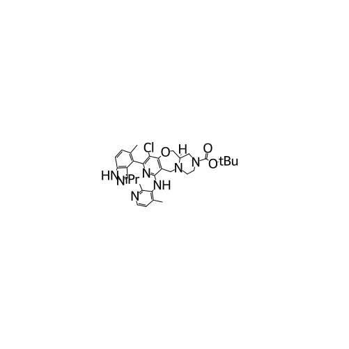 Cc1ccnc(C(C)C)c1Nc1nc(-c2c(C)ccc3[nH]ncc23)c(Cl)c2c1CN1CCN(C(=O)OC(C)(C)C)C[C@@H]1CO2